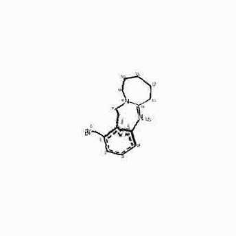 Brc1cccc2c1CN1CCCCCC1=N2